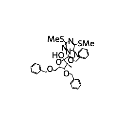 CSc1nc(SC)c2ncc([C@]3(O)O[C@H](COCc4ccccc4)[C@@H](OCc4ccccc4)[C@@]3(C)OCc3ccccc3)n2n1